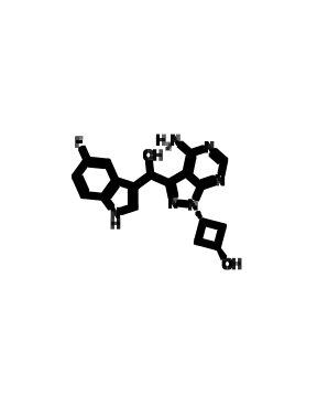 Nc1ncnc2c1c(C(O)c1c[nH]c3ccc(F)cc13)nn2[C@H]1C[C@H](O)C1